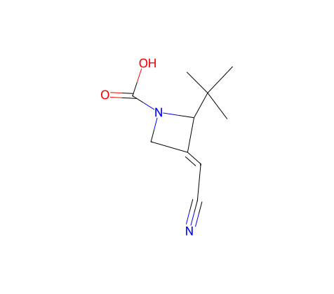 CC(C)(C)C1C(=CC#N)CN1C(=O)O